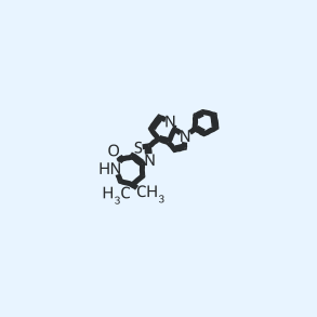 CC1(C)CNC(=O)c2sc(-c3ccnc4c3ccn4-c3ccccc3)nc2C1